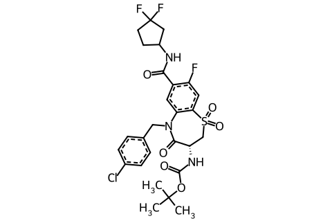 CC(C)(C)OC(=O)N[C@H]1CS(=O)(=O)c2cc(F)c(C(=O)NC3CCC(F)(F)C3)cc2N(Cc2ccc(Cl)cc2)C1=O